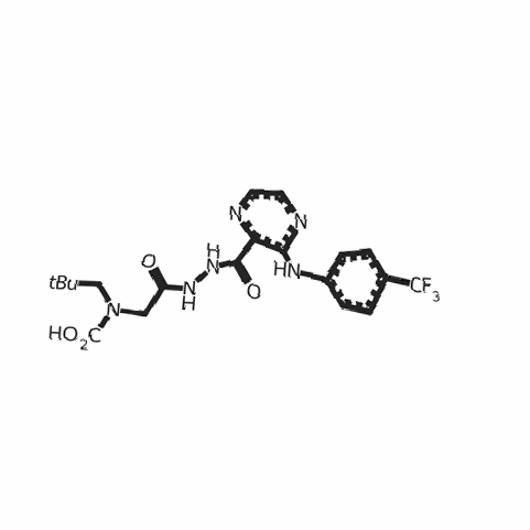 CC(C)(C)CN(CC(=O)NNC(=O)c1nccnc1Nc1ccc(C(F)(F)F)cc1)C(=O)O